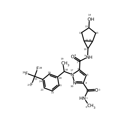 CNC(=O)c1cc(C(=O)NC2C3CC(O)CC32)n(C(C)c2cccc(C(F)(F)F)c2)n1